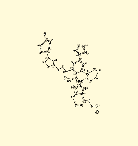 CCOCCc1cccc2[nH]c(NC3CCCCN3c3cc(-n4ccnn4)cc(C(=O)CCN4CCC(c5ccc(F)cc5)C4)c3OCC)nc12